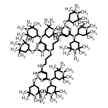 CN1C(C)(C)CC(ON2N=C(N(C3CC(C)(C)N(C)C(C)(C)C3)C3CC(C)(C)N(C)C(C)(C)C3)C=C(NCCCN(CCCNC3=CC(N(C4CC(C)(C)N(C)C(C)(C)C4)C4CC(C)(C)N(C)C(C)(C)C4)=NN(OC4CC(C)(C)N(C)C(C)(C)C4)N3)C3=CC(N(C4CC(C)(C)N(C)C(C)(C)C4)C4CC(C)(C)N(C)C(C)(C)C4)=NN(OC4CC(C)(C)N(C)C(C)(C)C4)N3)N2)CC1(C)C